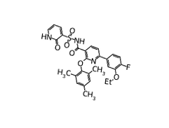 CCOc1cc(-c2ccc(C(=O)NS(=O)(=O)c3ccc[nH]c3=O)c(Oc3c(C)cc(C)cc3C)n2)ccc1F